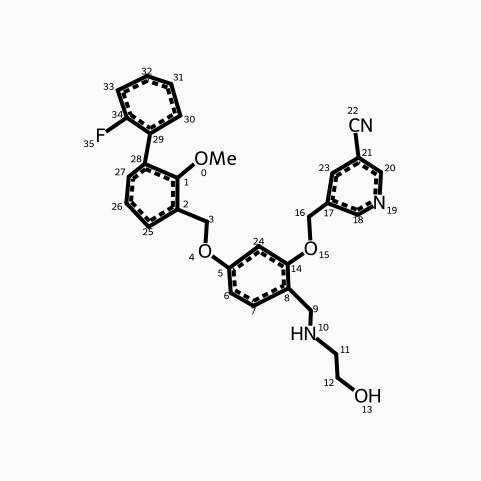 COc1c(COc2ccc(CNCCO)c(OCc3cncc(C#N)c3)c2)cccc1-c1ccccc1F